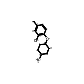 Cc1ccc(OC2CCC(O)CC2)c(Cl)c1